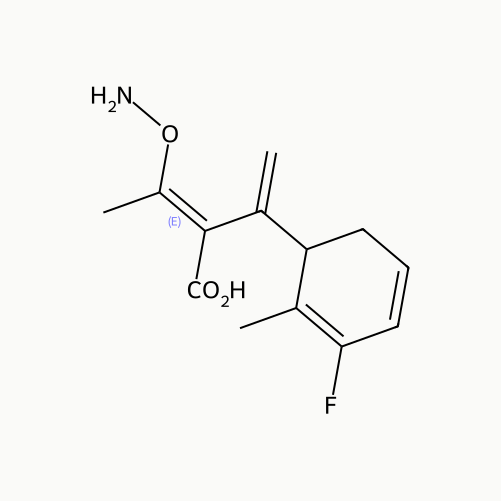 C=C(/C(C(=O)O)=C(/C)ON)C1CC=CC(F)=C1C